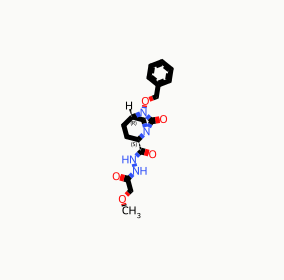 COCC(=O)NNC(=O)[C@@H]1CC[C@@H]2CN1C(=O)N2OCc1ccccc1